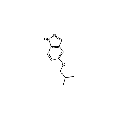 CC(C)COc1ccc2[nH]ncc2c1